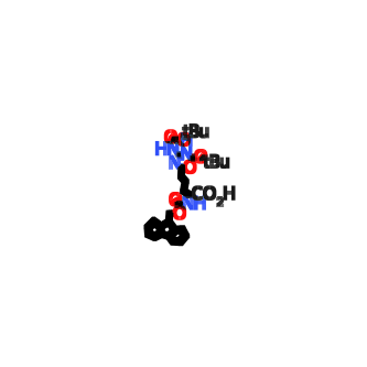 CC(C)(C)OC(=O)NC(=NCCCCC(NC(=O)OCC1c2ccccc2-c2ccccc21)C(=O)O)NC(=O)OC(C)(C)C